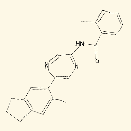 Cc1ccccc1C(=O)Nc1cnc(-c2cc3c(cc2C)CCC3)cn1